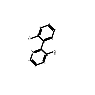 Clc1ccccc1-c1ncccc1Cl